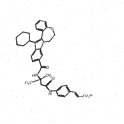 CC(C)(CC(=O)Nc1ccc(C=CC(=O)O)cc1)NC(=O)c1ccc2c(C3CCCCC3)c3n(c2c1)CCOc1ccccc1-3